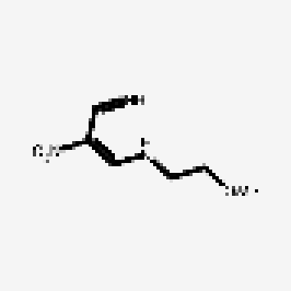 COCCN/C=C(\C=N)[N+](=O)[O-]